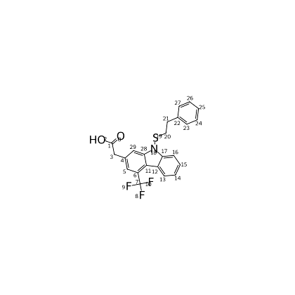 O=C(O)Cc1cc(C(F)(F)F)c2c3ccccc3n(SCCc3ccccc3)c2c1